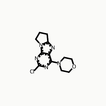 Clc1nc(N2CCOCC2)c2nc3n(c2n1)CCC3